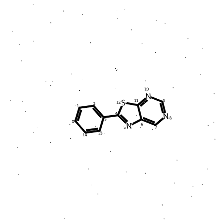 c1ccc(-c2nc3cncnc3s2)cc1